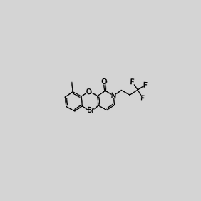 Cc1cccc(C)c1Oc1c(Br)ccn(CCC(F)(F)F)c1=O